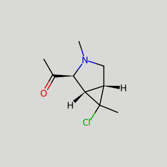 CC(=O)[C@@H]1[C@@H]2[C@H](CN1C)C2(C)Cl